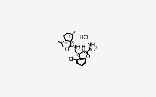 CC(C)[C@@H]1CC[C@@H](C)C[C@H]1C(=O)NC[C@@H](NC(=O)[C@@H](C)N)c1ccccc1Cl.Cl